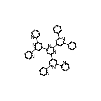 c1ccc(-c2cc(-c3nc(-c4cc(-c5ccccn5)nc(-c5ccccn5)c4)cc(-c4cc(-c5ccccn5)nc(-c5ccccn5)c4)n3)cc(-c3ccccc3)n2)cc1